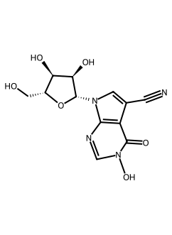 N#Cc1cn([C@@H]2O[C@H](CO)[C@@H](O)[C@H]2O)c2ncn(O)c(=O)c12